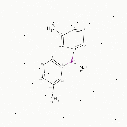 Cc1cccc([P-]c2cccc(C)c2)c1.[Na+]